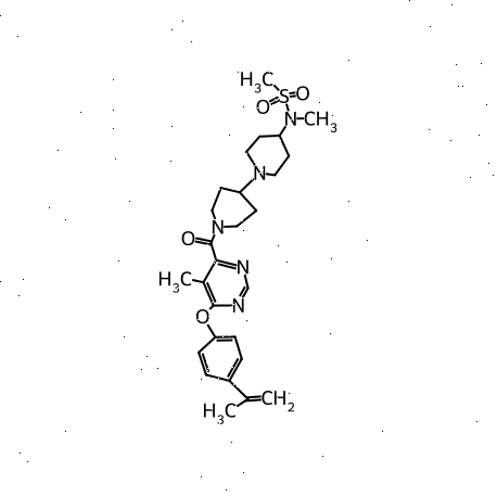 C=C(C)c1ccc(Oc2ncnc(C(=O)N3CCC(N4CCC(N(C)S(C)(=O)=O)CC4)CC3)c2C)cc1